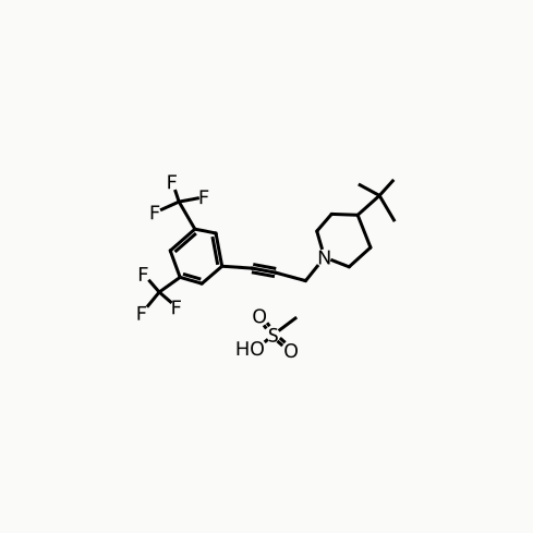 CC(C)(C)C1CCN(CC#Cc2cc(C(F)(F)F)cc(C(F)(F)F)c2)CC1.CS(=O)(=O)O